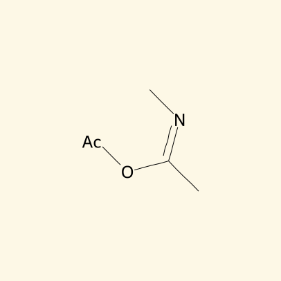 C/N=C(/C)OC(C)=O